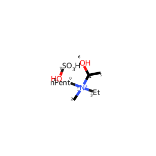 CCCCC[N+](C)(CC)C(C)O.O=S(=O)(O)O